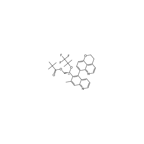 Cc1cc2ncccc2c(-c2ccc3c4c(ccnc24)CCO3)c1[C@@H](COC(=O)C(C)(C)C)OC(C)(C)C(F)(F)F